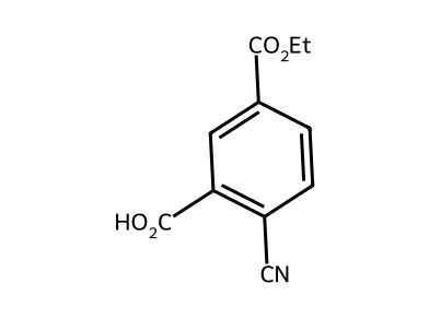 CCOC(=O)c1ccc(C#N)c(C(=O)O)c1